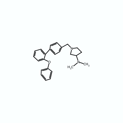 CN(C)C1CCN(Cc2ccc(-c3ccccc3Oc3ccccc3)cc2)C1